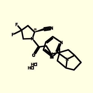 CC1(NCC(=O)N2CC(F)(F)C[C@H]2C#N)CC2CCC(C1)N2c1ncccn1.Cl.Cl